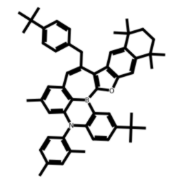 Cc1ccc(N2c3ccc(C(C)(C)C)cc3B3c4oc5cc6c(cc5c4C(Cc4ccc(C(C)(C)C)cc4)=Cc4cc(C)cc2c43)C(C)(C)CCC6(C)C)c(C)c1